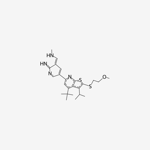 CN/C=C1/C=C(c2cc(C(C)(C)C)c3c(C(C)C)c(SCCOC)sc3n2)C=NC1=N